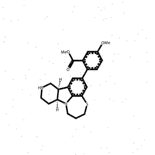 COC(=O)c1cc(OC)ccc1-c1cc2c3c(c1)[C@@H]1CNCC[C@@H]1N3CCCS2